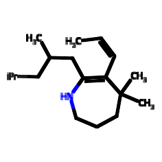 C/C=C\C1=C(CC(C)CC(C)C)NCCCC1(C)C